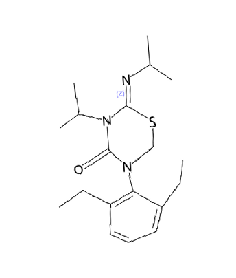 CCc1cccc(CC)c1N1CS/C(=N\C(C)C)N(C(C)C)C1=O